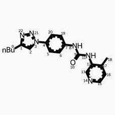 CCCCc1cn(-c2ccc(NC(=O)Nc3cnccc3C)cc2)nn1